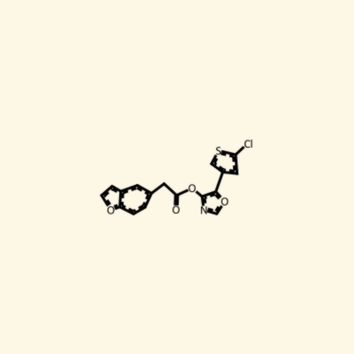 O=C(Cc1ccc2occc2c1)Oc1ncoc1-c1csc(Cl)c1